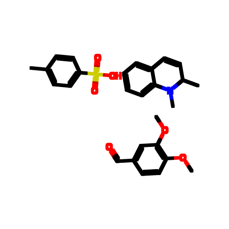 CC1C=Cc2ccccc2N1C.COc1ccc(C=O)cc1OC.Cc1ccc(S(=O)(=O)O)cc1